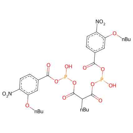 CCCCOc1cc(C(=O)OP(O)OC(=O)C(CCCC)C(=O)OP(O)OC(=O)c2ccc([N+](=O)[O-])c(OCCCC)c2)ccc1[N+](=O)[O-]